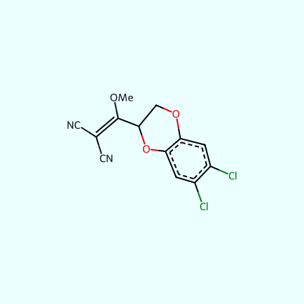 COC(=C(C#N)C#N)C1COc2cc(Cl)c(Cl)cc2O1